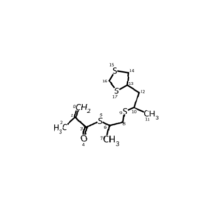 C=C(C)C(=O)SC(C)CSC(C)CC1CSCS1